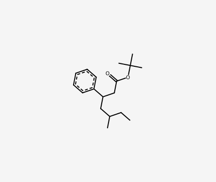 CCC(C)CC(CC(=O)OC(C)(C)C)c1ccccc1